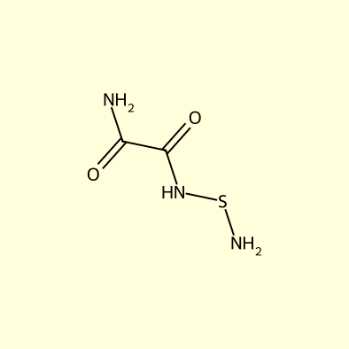 NSNC(=O)C(N)=O